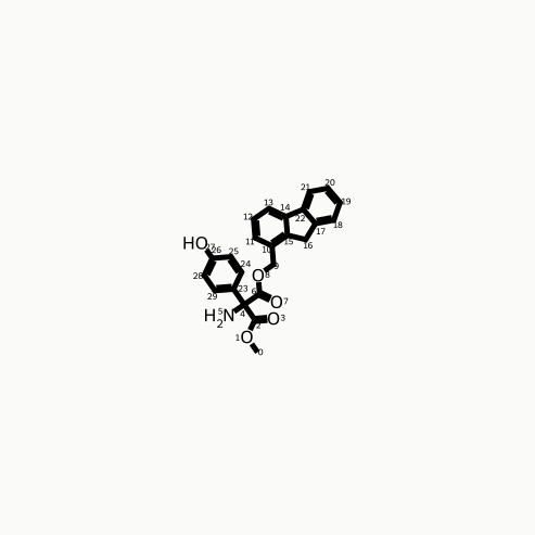 COC(=O)C(N)(C(=O)OCc1cccc2c1Cc1ccccc1-2)c1ccc(O)cc1